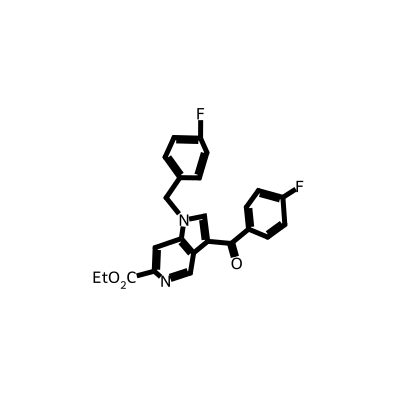 CCOC(=O)c1cc2c(cn1)c(C(=O)c1ccc(F)cc1)cn2Cc1ccc(F)cc1